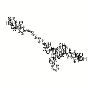 CC(C)(C)[C@H](NC(=O)c1cc2cc(C(F)(F)P(=O)(O)O)ccc2s1)C(=O)N1CCN(C(=O)CC(=O)NCCCCCCCCC#Cc2ccc3c(c2)C(=O)N(C2CCC(=O)NC2=O)C3=O)C[C@H]1C(=O)N1CCO[C@H](c2ccccc2)C1